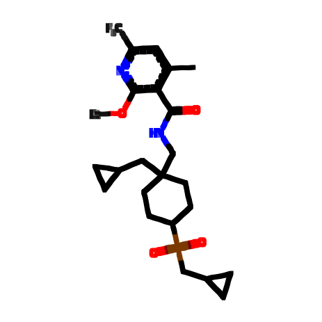 CCOc1nc(C(F)(F)F)cc(C)c1C(=O)NCC1(CC2CC2)CCC(S(=O)(=O)CC2CC2)CC1